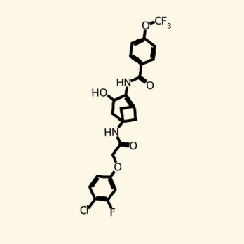 O=C(COc1ccc(Cl)c(F)c1)NC12CC(=C(NC(=O)c3ccc(OC(F)(F)F)cc3)C(O)C1)C2